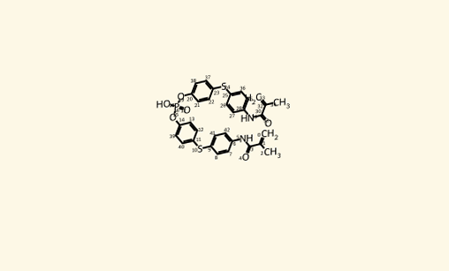 C=C(C)C(=O)Nc1ccc(Sc2ccc(OP(=O)(O)Oc3ccc(Sc4ccc(NC(=O)C(=C)C)cc4)cc3)cc2)cc1